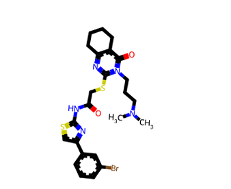 CN(C)CCCn1c(SCC(=O)Nc2nc(-c3cccc(Br)c3)cs2)nc2c(c1=O)CCCC2